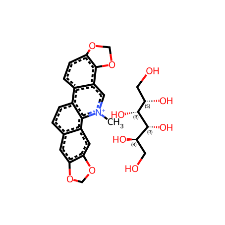 C[n+]1cc2c3c(ccc2c2ccc4cc5c(cc4c21)OCO5)OCO3.OC[C@@H](O)[C@@H](O)[C@H](O)[C@@H](O)CO